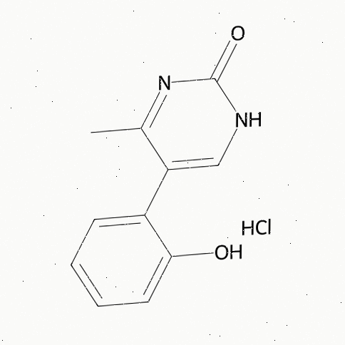 Cc1nc(=O)[nH]cc1-c1ccccc1O.Cl